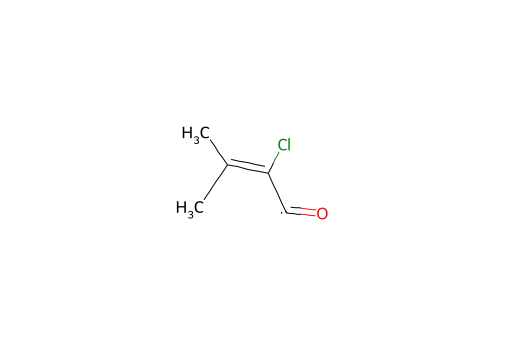 CC(C)=C(Cl)[C]=O